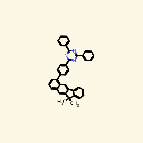 CC1(C)c2ccccc2-c2cc3c(-c4ccc(-c5nc(-c6ccccc6)nc(-c6ccccc6)n5)cc4)cccc3cc21